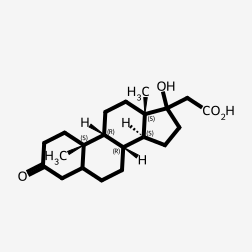 C[C@]12CCC(=O)CC1CC[C@@H]1[C@H]2CC[C@@]2(C)[C@H]1CCC2(O)CC(=O)O